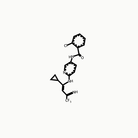 N=C(/C=C(\Nc1ccc(NC(=O)c2ccccc2Cl)cn1)C1CC1)C(F)(F)F